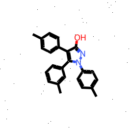 Cc1ccc(-c2c(O)nn(-c3ccc(C)cc3)c2-c2cccc(C)c2)cc1